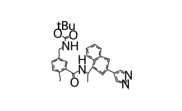 Cc1ccc(CNC(=O)OC(C)(C)C)cc1C(=O)NC(C)c1cc(-c2cnn(C)c2)cc2ccccc12